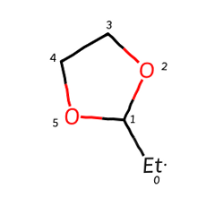 C[CH]C1OCCO1